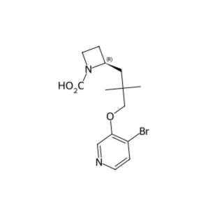 CC(C)(COc1cnccc1Br)C[C@@H]1CCN1C(=O)O